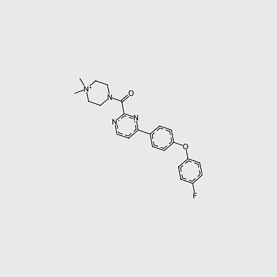 C[N+]1(C)CCN(C(=O)c2nccc(-c3ccc(Oc4ccc(F)cc4)cc3)n2)CC1